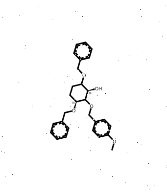 COc1ccc(COC2[C@H](O)C(OCc3ccccc3)CC[C@@H]2OCc2ccccc2)cc1